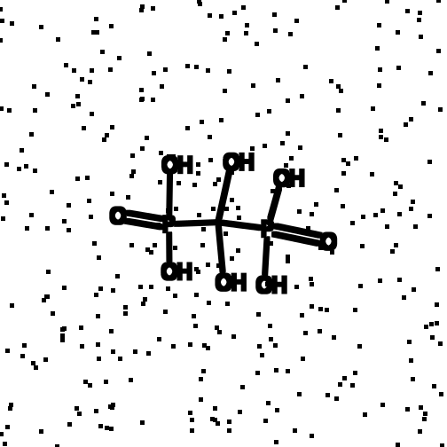 O=P(O)(O)C(O)(O)P(=O)(O)O